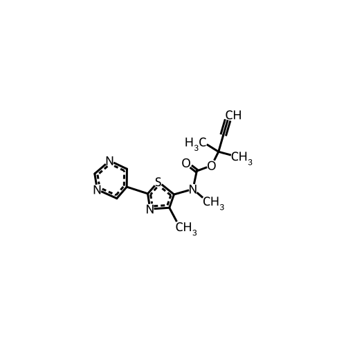 C#CC(C)(C)OC(=O)N(C)c1sc(-c2cncnc2)nc1C